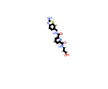 NC1=NC2C=CC(CNC(=O)c3cccc(C(=O)NCCCO)n3)=CC2S1